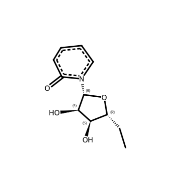 CC[C@H]1O[C@@H](n2ccccc2=O)[C@H](O)[C@@H]1O